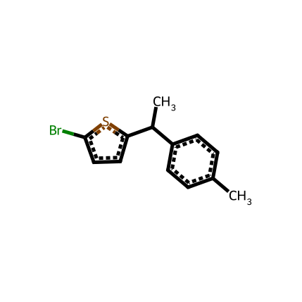 Cc1ccc(C(C)c2ccc(Br)s2)cc1